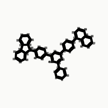 c1ccc(-c2nc(-c3ccc(-c4cccc5ccccc45)cc3)cc(-c3ccc(-n4c5ccccc5c5ccccc54)cc3)n2)cc1